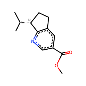 COC(=O)c1cnc2c(c1)CC[C@H]2C(C)C